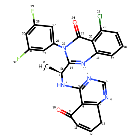 C[C@H](Nc1ncnc2c1C(=O)C=CC2)c1nc2cccc(Cl)c2c(=O)n1-c1cc(F)cc(F)c1